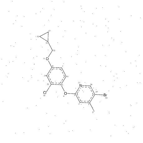 Cc1cc(Oc2ccc(OCC3CC3)cc2Cl)ncc1Br